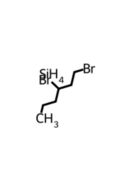 CCCC(Br)CCBr.[SiH4]